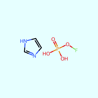 O=P(O)(O)OF.c1c[nH]cn1